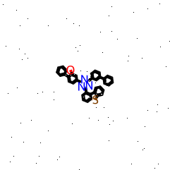 c1ccc(-c2cccc(-c3nc(-c4ccc5c(c4)oc4ccccc45)nc(-c4cccc5sc6ccccc6c45)n3)c2)cc1